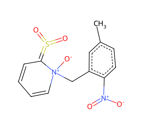 Cc1ccc([N+](=O)[O-])c(C[N+]2([O-])C=CC=CC2=S(=O)=O)c1